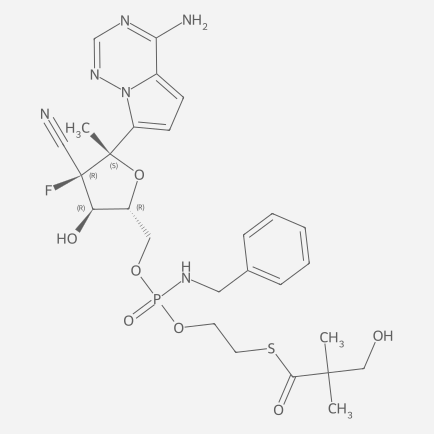 CC(C)(CO)C(=O)SCCOP(=O)(NCc1ccccc1)OC[C@H]1O[C@@](C)(c2ccc3c(N)ncnn23)[C@@](F)(C#N)[C@@H]1O